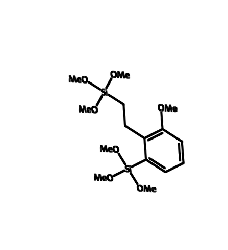 COc1cccc([Si](OC)(OC)OC)c1CC[Si](OC)(OC)OC